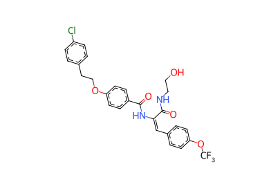 O=C(NCCO)/C(=C\c1ccc(OC(F)(F)F)cc1)NC(=O)c1ccc(OCCc2ccc(Cl)cc2)cc1